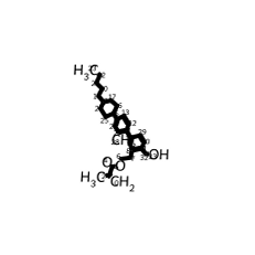 C=C(C)C(=O)OCCc1cc(-c2ccc(C3CCC(CCCCC)CC3)cc2C)ccc1CO